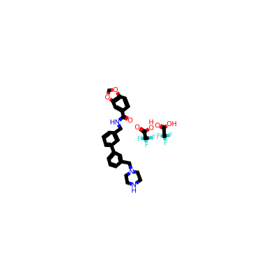 O=C(NCc1cccc(-c2cccc(CN3CCNCC3)c2)c1)c1ccc2c(c1)OCO2.O=C(O)C(F)(F)F.O=C(O)C(F)(F)F